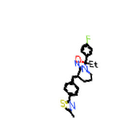 CCC1(c2ccc(F)cc2)ON=C2/C(=C/c3ccc(-c4nc(C)cs4)cc3)CCCN21